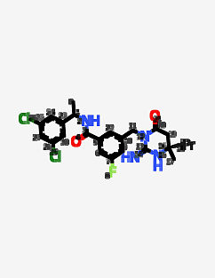 CC(NC(=O)c1cc(F)cc(CN2C(=N)N[C@](C)(C(C)C)CC2=O)c1)c1cc(Cl)cc(Cl)c1